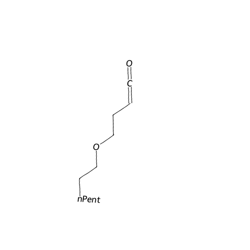 CCCCCCCOCCC=C=O